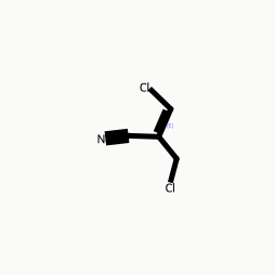 N#C/C(=C\Cl)CCl